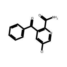 NC(=O)c1ncc(Cl)cc1C(=O)c1ccccc1